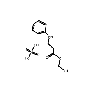 CCOC(=O)CCNc1ccccn1.O=S(=O)(O)O